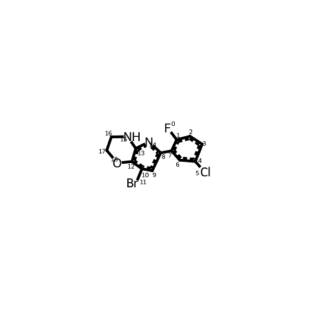 Fc1ccc(Cl)cc1-c1cc(Br)c2c(n1)NCCO2